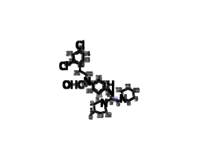 CC1CCN(/C(=C/N2CCCCC2)Nc2ccc(N(C=O)CCc3ccc(Cl)cc3Cl)cc2)CC1